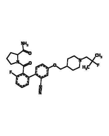 CC(C)(F)CN1CCC(COc2ccc(-c3cccc(F)c3C(=O)N3CCCC3C(N)=O)c(C#N)c2)CC1